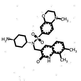 Cc1ccc2cc(CN([C@H]3CC[C@H](N)CC3)S(=O)(=O)c3ccc4c(c3)OCCN4C)c(=O)[nH]c2c1C